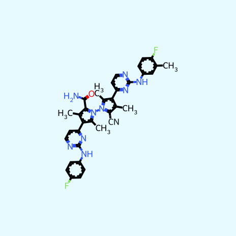 Cc1cc(Nc2nccc(-c3c(C)c(C#N)n(-n4c(C)c(-c5ccnc(Nc6ccc(F)cc6)n5)c(C)c4C(N)=O)c3C)n2)ccc1F